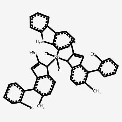 CCc1ccccc1-c1c(C)ccc2c1C=C(C(C)(C)C)[CH]2[Zr]([Cl])([Cl])([c]1cccc2c1[SiH2]c1ccccc1-2)[CH]1C(C(C)(C)C)=Cc2c1ccc(C)c2-c1ccccc1CC